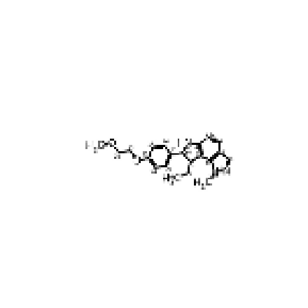 CCC1c2c(ncc3cnn(C)c23)NC1c1ccc(OCCOC)cc1